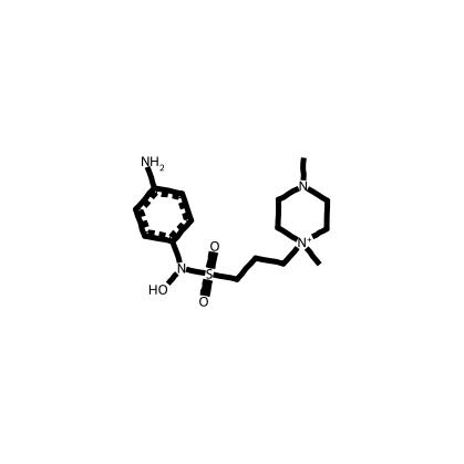 CN1CC[N+](C)(CCCS(=O)(=O)N(O)c2ccc(N)cc2)CC1